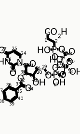 O=C(O)CCP(=O)(O)OP(=O)(O)OP(=O)(O)OP(=O)(O)OC[C@H]1O[C@@H](n2ccc(=O)[nH]c2=O)[C@@H](OC(=O)c2ccccc2)C1O